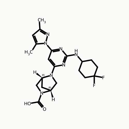 Cc1cc(C)n(-c2cc(N3C[C@H]4C[C@@H]3CN4C(=O)O)nc(NC3CCC(F)(F)CC3)n2)n1